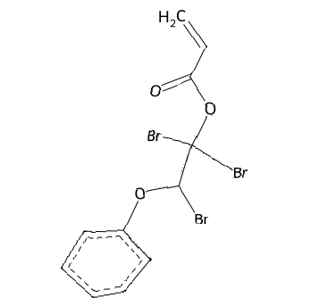 C=CC(=O)OC(Br)(Br)C(Br)Oc1ccccc1